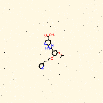 CC(C)Oc1cc(OCCCc2cccnc2)cc(-c2nc3cc(C(=O)O)cnc3[nH]2)c1